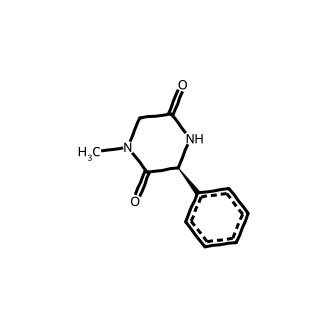 CN1CC(=O)N[C@@H](c2ccccc2)C1=O